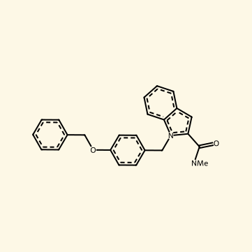 CNC(=O)c1cc2ccccc2n1Cc1ccc(OCc2ccccc2)cc1